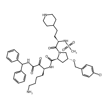 CS(=O)(=O)N[C@H](CCC1CCNCC1)C(=O)N1C[C@H](OCc2ccc(Cl)cc2)C[C@H]1C(=O)N[C@@H](CCCCN)C(=O)C(=O)NC(c1ccccc1)c1ccccc1